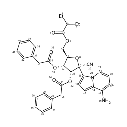 CCC(CC)C(=O)OC[C@H]1O[C@@](C#N)(c2ccc3c(N)ncnn23)[C@H](OC(=O)Cc2ccccc2)[C@@H]1OC(=O)Cc1ccccc1